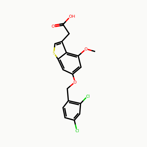 COc1cc(OCc2ccc(Cl)cc2Cl)cc2scc(CC(=O)O)c12